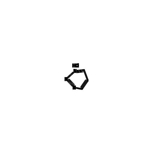 Cl.c1cnnnc1